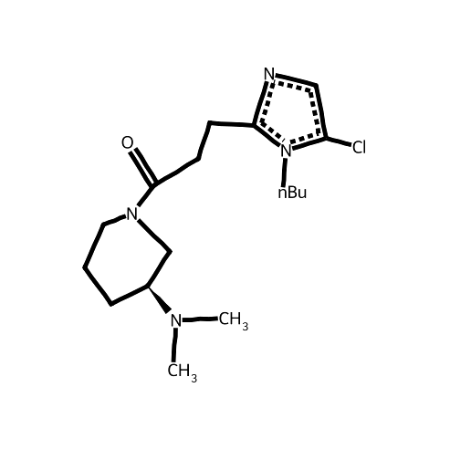 CCCCn1c(Cl)cnc1CCC(=O)N1CCC[C@H](N(C)C)C1